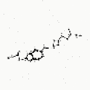 CCCC(CC)Oc1nc2ccc(OC[C@H]3C[C@H](OC[C@H](C)NC(C)=O)C3)nc2s1